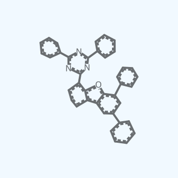 c1ccc(-c2cc(-c3ccccc3)c3oc4c(-c5nc(-c6ccccc6)nc(-c6ccccc6)n5)cccc4c3c2)cc1